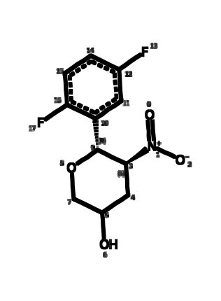 O=[N+]([O-])[C@H]1CC(O)CO[C@@H]1c1cc(F)ccc1F